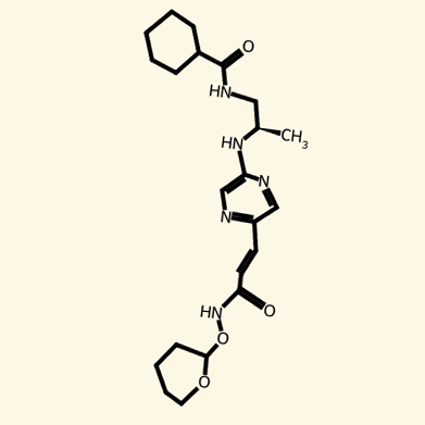 C[C@H](CNC(=O)C1CCCCC1)Nc1cnc(/C=C/C(=O)NOC2CCCCO2)cn1